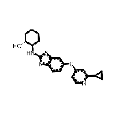 O[C@@H]1CCCC[C@H]1Nc1nc2ccc(Oc3ccnc(C4CC4)c3)cc2s1